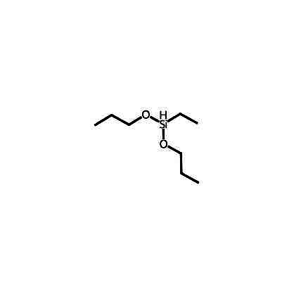 CCCO[SiH](CC)OCCC